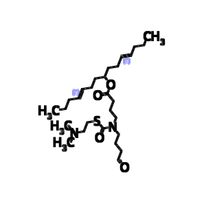 CCC/C=C/CCC(CC/C=C/CCC)OC(=O)CCCN(CCCC=O)C(=O)SCCN(C)C